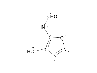 Cc1nnoc1NC=O